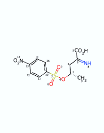 C[C@@H](CC(=N)C(=O)O)OS(=O)(=O)c1ccc([N+](=O)[O-])cc1